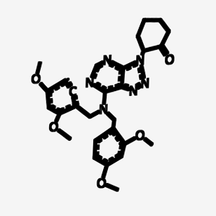 COc1ccc(CN(Cc2ccc(OC)cc2OC)c2ncnc3c2nnn3C2CCCCC2=O)c(OC)c1